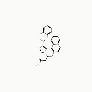 CC(=O)c1ccccc1OC(N)c1cn(C(CC(=O)NO)Cc2ccc3ccccc3c2)nn1